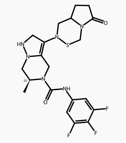 C[C@H]1CN2NCC(N3CC4CCC(=O)N4CS3)=C2CN1C(=O)Nc1cc(F)c(F)c(F)c1